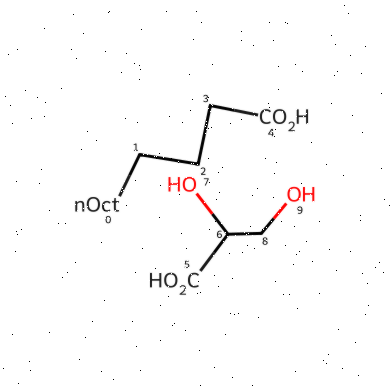 CCCCCCCCCCCC(=O)O.O=C(O)C(O)CO